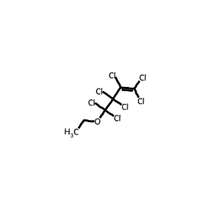 CCOC(Cl)(Cl)C(Cl)(Cl)C(Cl)=C(Cl)Cl